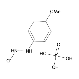 COc1ccc(NNCl)cc1.O=P(O)(O)O